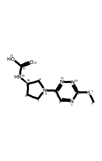 CSc1ncc(N2CC[C@@H](NC(=O)O)C2)nn1